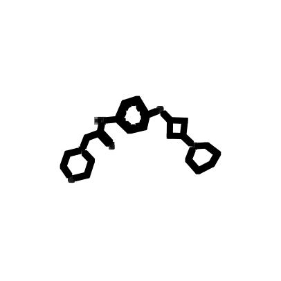 S=C(CN1CCOCC1)Nc1ccc(OC2CC(N3CCCCC3)C2)cc1